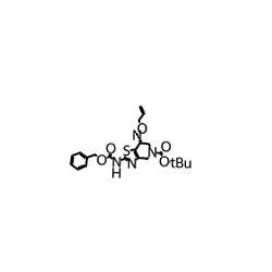 C=CCO/N=C1\CN(C(=O)OC(C)(C)C)Cc2nc(NC(=O)OCc3ccccc3)sc21